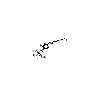 CCCCCCCc1ccc(B2OC(C)(C)C(C)(C)O2)c(F)c1F